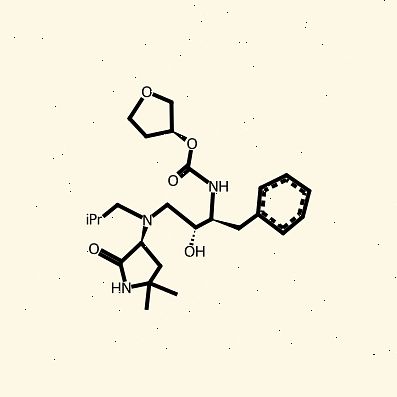 CC(C)CN(C[C@@H](O)[C@H](Cc1ccccc1)NC(=O)O[C@H]1CCOC1)[C@H]1CC(C)(C)NC1=O